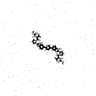 COC(=O)NC(C(=O)N1CCC[C@H]1c1nc2ccc(-c3ccc(-c4ccc5[nH]c([C@@H]6CCCN6C(=O)[C@@H](NC(=O)OC)C(C)C)nc5c4)cn3)cc2[nH]1)C(C)C